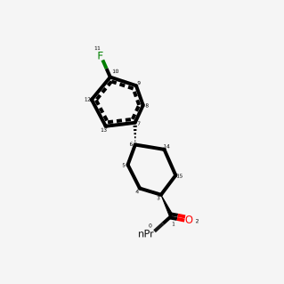 CCCC(=O)[C@H]1CC[C@H](c2ccc(F)cc2)CC1